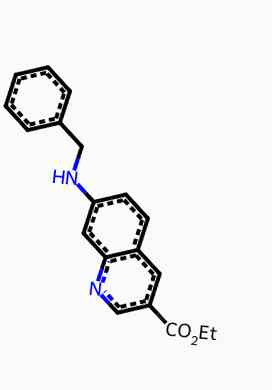 CCOC(=O)c1cnc2cc(NCc3ccccc3)ccc2c1